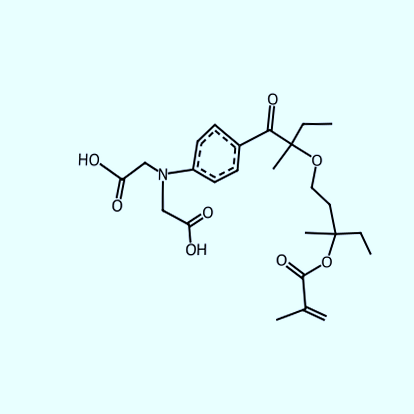 C=C(C)C(=O)OC(C)(CC)CCOC(C)(CC)C(=O)c1ccc(N(CC(=O)O)CC(=O)O)cc1